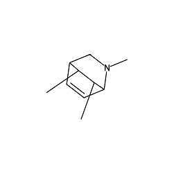 CC1C2C=CC(C1C)N(C)C2